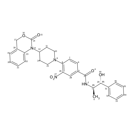 C[C@@H](NC(=O)c1ccc(N2CCC(N3C(=O)OCc4ccccc43)CC2)c([N+](=O)[O-])c1)[C@H](O)c1ccccc1